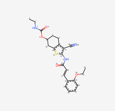 CCNC(=O)OC1CCc2c(sc(NC(=O)C=Cc3ccccc3OCC)c2C#N)C1